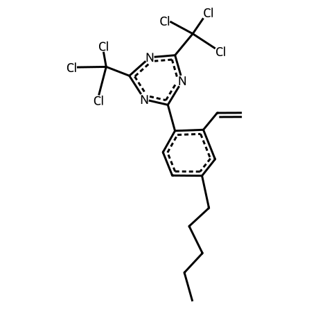 C=Cc1cc(CCCCC)ccc1-c1nc(C(Cl)(Cl)Cl)nc(C(Cl)(Cl)Cl)n1